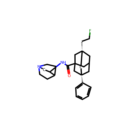 O=C(NC1CN2CCC1CC2)C12CC3C[C@](CCF)(C1)C[C@@](c1ccccc1)(C3)C2